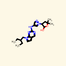 CCC(CC)Cn1ccc2cnc(Nc3cnn(C4CC(C)(C)OC4O)c3)nc21